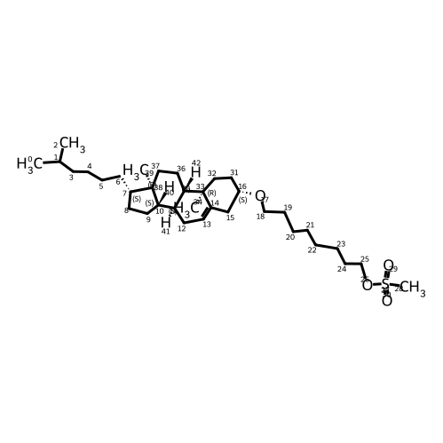 CC(C)CCCC[C@H]1CC[C@H]2[C@@H]3CC=C4C[C@@H](OCCCCCCCCOS(C)(=O)=O)CC[C@]4(C)[C@H]3CC[C@]12C